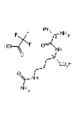 CC(C)[C@H](N)C(=O)N[C@@H](CCCNC(N)=O)C(=O)O.O=C(O)C(F)(F)F